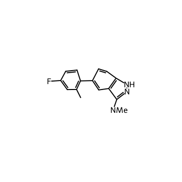 CNc1n[nH]c2ccc(-c3ccc(F)cc3C)cc12